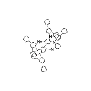 N#Cc1cc(-n2c3ccccc3c3cc(-c4ccccc4)ccc32)c(-n2c3ccccc3c3cc(-c4ccccc4)ccc32)cc1-c1cc(-n2c3ccccc3c3cc(-c4ccccc4)ccc32)c(-n2c3ccccc3c3cc(-c4ccccc4)ccc32)cc1C#N